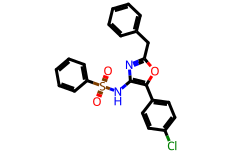 O=S(=O)(Nc1nc(Cc2ccccc2)oc1-c1ccc(Cl)cc1)c1ccccc1